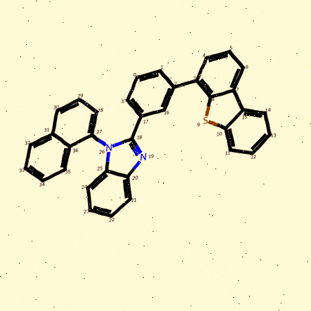 c1cc(-c2cccc3c2sc2ccccc23)cc(-c2nc3ccccc3n2-c2cccc3ccccc23)c1